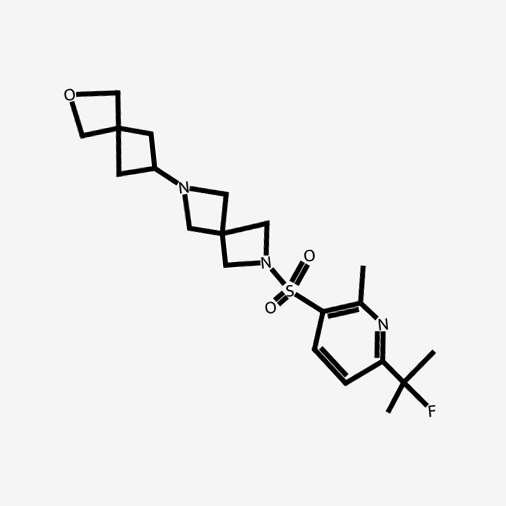 Cc1nc(C(C)(C)F)ccc1S(=O)(=O)N1CC2(CN(C3CC4(COC4)C3)C2)C1